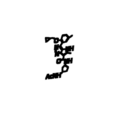 CC(=O)N[C@@H]1CC[C@H](NC(=O)c2c(C)[nH]c3c(-c4cc(C)ccc4OCC4CC4)ncnc23)C1